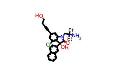 CCC(N)(CC)CN1C(=O)C(O)(c2ccc3ccccc3c2)c2c(Cl)cc(C#CCCO)cc21